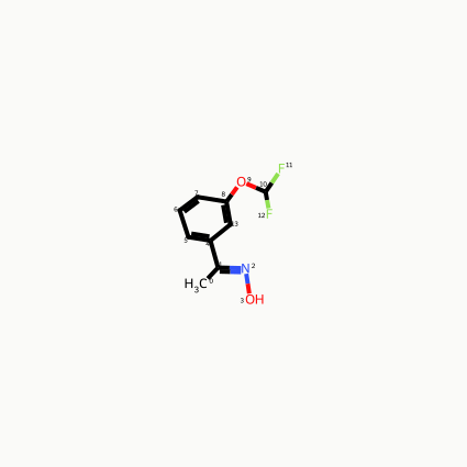 CC(=NO)c1cccc(OC(F)F)c1